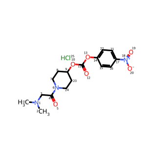 CN(C)CC(=O)N1CCC(OC(=O)Oc2ccc([N+](=O)[O-])cc2)CC1.Cl